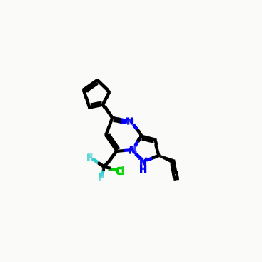 C=C[C@@H]1C=C2N=C(C3=CC=CC3)C=C(C(F)(F)Cl)N2N1